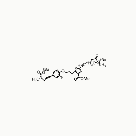 COC(=O)c1nc(NCCCCC(=O)[Si](C)(C)C(C)(C)C)sc1CCCOc1ccc(C#CCN(C)C(=O)OC(C)(C)C)cc1F